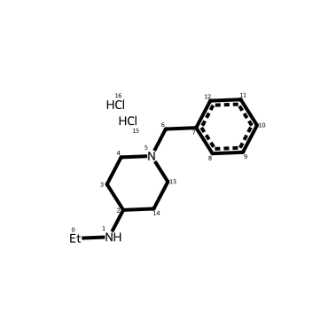 CCNC1CCN(Cc2ccccc2)CC1.Cl.Cl